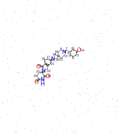 COc1cccc(CN2CCC3(CC2)CN(c2ccc4c(c2)CN(C2CCC(=O)NC2=O)C4=O)C3)c1